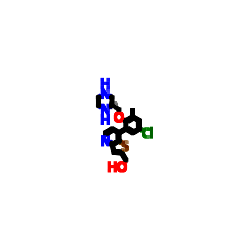 Cc1cc(Cl)cc(-c2ccnc3cc(CO)sc23)c1OC[C@@H]1CNCCN1